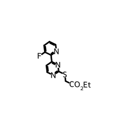 CCOC(=O)CSc1nccc(-c2ncccc2F)n1